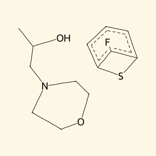 CC(O)CN1CCOCC1.Fc1c2cccc1S2